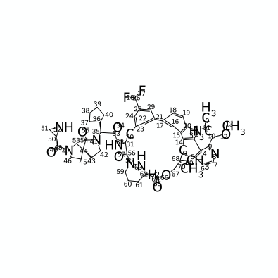 CCn1c(-c2cccnc2[C@H](C)OC)c2c3cc(ccc31)-c1cc(cc(C(F)F)c1)C[C@H](NC(=O)[C@H](C1CCCC1)N1CC[C@]3(CCN(C(=O)[C@H]4CN4)C3)C1=O)C(=O)N1CCC[C@H](N1)C(=O)OCC(C)(C)C2